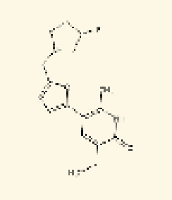 CCc1cc(-c2ccc(CN3CCC(F)C3)o2)c(C)[nH]c1=O